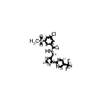 CS(=O)(=O)c1cc(Cl)cc(C(=O)NCc2ncnn2-c2ncc(C(F)(F)F)cn2)c1